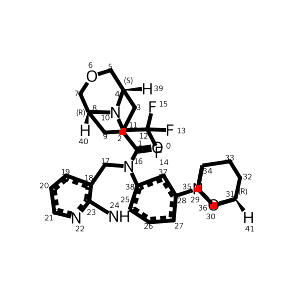 O=C(C1C[C@H]2COC[C@@H](C1)N2CC(F)(F)F)N1Cc2cccnc2Nc2ccc(N3C[C@H]4CCC3CO4)cc21